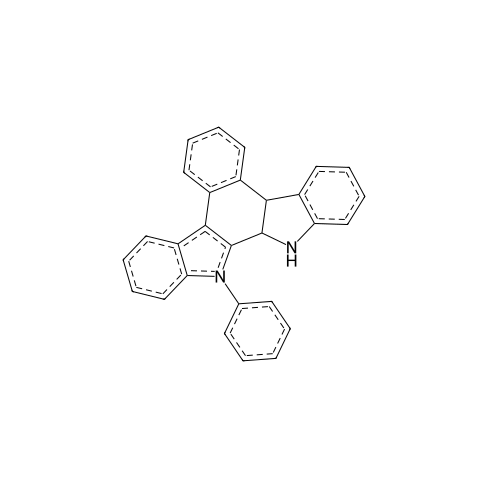 c1ccc(-n2c3c(c4ccccc42)-c2ccccc2C2c4ccccc4NC32)cc1